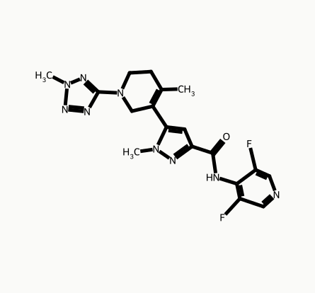 CC1=C(c2cc(C(=O)Nc3c(F)cncc3F)nn2C)CN(c2nnn(C)n2)CC1